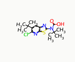 CC(C)(C)c1cc2nc(N(C(=O)O)C(C)(C)C)sc2nc1Cl